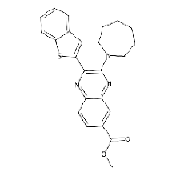 COC(=O)c1ccc2nc(-c3cc4ccccc4s3)c(N3CCCCCC3)nc2c1